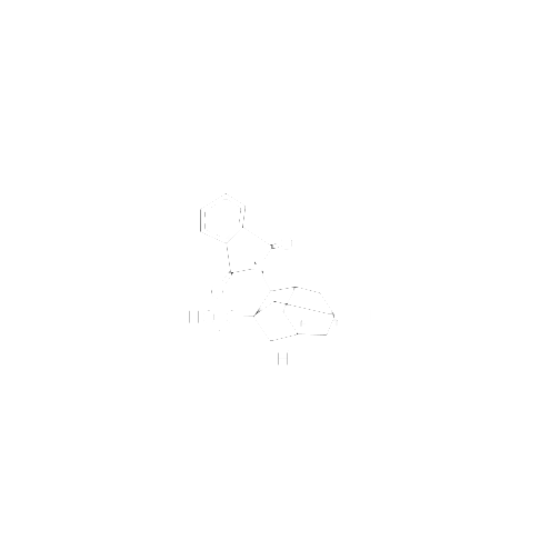 O=C1c2ccccc2C(=O)N1C1C2C[C@H]3C[C@H](C2)CC1(C(=O)O)C3